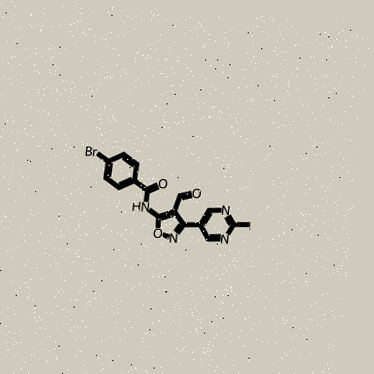 Cc1ncc(-c2noc(NC(=O)c3ccc(Br)cc3)c2C=O)cn1